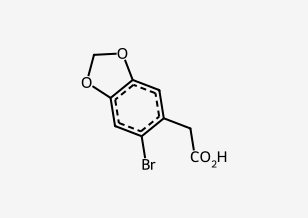 O=C(O)Cc1cc2c(cc1Br)OCO2